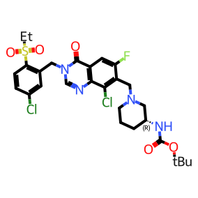 CCS(=O)(=O)c1ccc(Cl)cc1Cn1cnc2c(Cl)c(CN3CCC[C@@H](NC(=O)OC(C)(C)C)C3)c(F)cc2c1=O